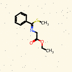 CCOC(=O)CN=C(SC)c1ccccc1